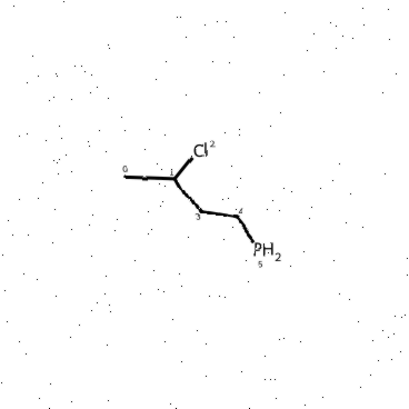 CC(Cl)CCP